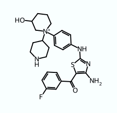 Nc1nc(Nc2ccc([N+]3(C4CCNCC4)CCCC(O)C3)cc2)sc1C(=O)c1cccc(F)c1